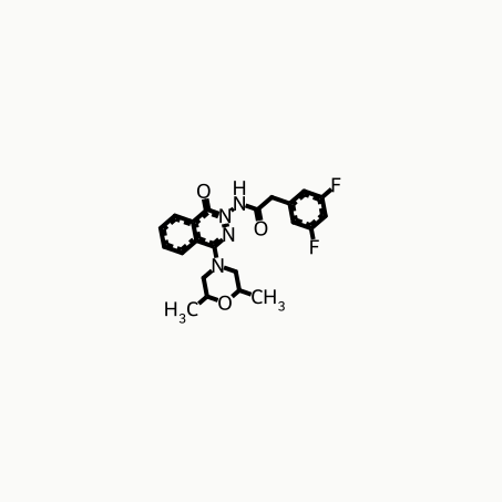 CC1CN(c2nn(NC(=O)Cc3cc(F)cc(F)c3)c(=O)c3ccccc23)CC(C)O1